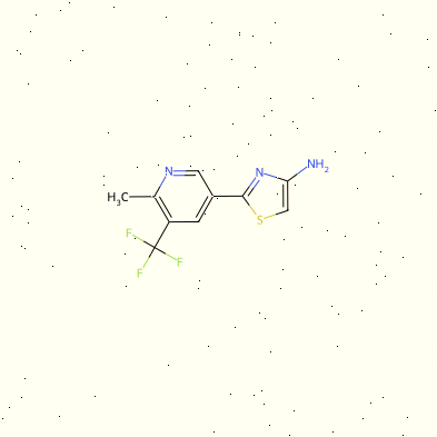 Cc1ncc(-c2nc(N)cs2)cc1C(F)(F)F